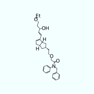 CCOCCC(O)C=CC1=CC[C@@H]2C[C@H](CCOCC(=O)N(Cc3ccccc3)c3ccccc3)C[C@@H]12